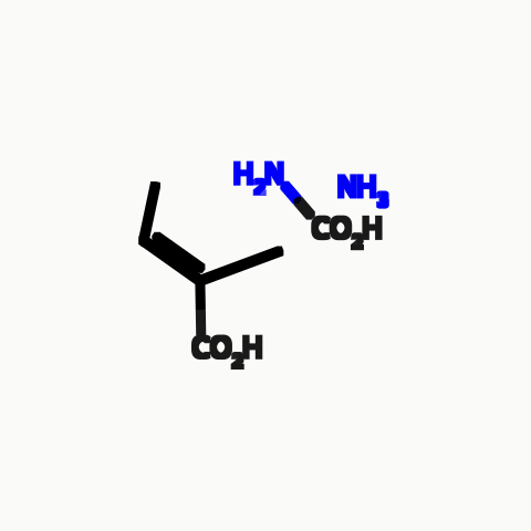 CC=C(C)C(=O)O.N.NC(=O)O